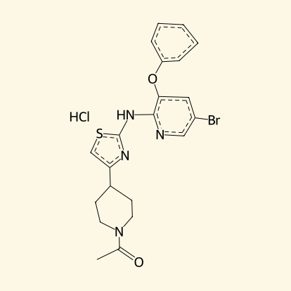 CC(=O)N1CCC(c2csc(Nc3ncc(Br)cc3Oc3ccccc3)n2)CC1.Cl